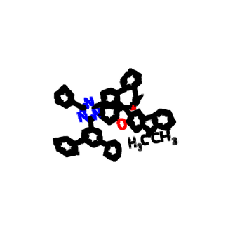 CC1(C)c2ccccc2-c2cc3c(cc21)Oc1ccccc1C31c2ccccc2-c2ccccc2-c2ccc(-c3nc(-c4ccccc4)nc(-c4cc(-c5ccccc5)cc(-c5ccccc5)c4)n3)cc21